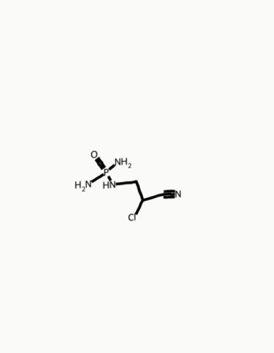 N#CC(Cl)CNP(N)(N)=O